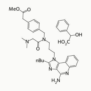 CCCCc1nc2c(N)nc3ccccc3c2n1CCCN(Cc1ccc(CC(=O)OC)cc1)C(=O)CN(C)C.O=C(O)C(O)c1ccccc1